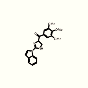 COc1cc(C(=O)C2CNC(n3ccc4ccccc43)=N2)cc(OC)c1OC